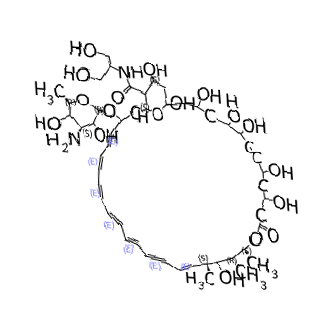 C[C@@H]1OC(=O)CC(O)CC(O)CCC(O)C(O)CC(O)CC2(O)C[C@H](O)C(C(=O)NC(CO)CO)[C@H](CC(O[C@@H]3O[C@H](C)C(O)[C@H](N)C3O)/C=C/C=C/C=C/C=C/C=C/C=C/C=C/[C@H](C)C(O)[C@H]1C)O2